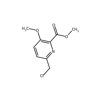 COC(=O)c1nc(CCl)ccc1OC